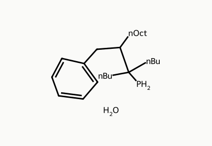 CCCCCCCCC(Cc1ccccc1)C(P)(CCCC)CCCC.O